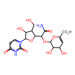 NC(=O)C(OC1OC(C(=O)O)=CC(O)C1O)C1OC(n2ccc(=O)[nH]c2=O)C(O)C1CO